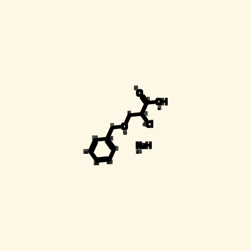 O=C(O)C(Cl)COCc1ccccc1.[NaH]